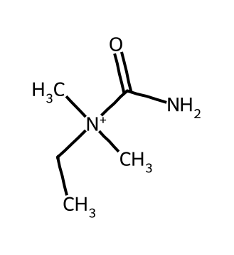 CC[N+](C)(C)C(N)=O